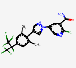 Cc1cc(C(F)(C(F)(F)F)C(F)(F)F)cc(C)c1-c1cnn(-c2cnc(Cl)c(C(N)=O)c2)c1